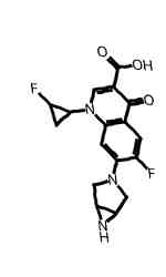 O=C(O)c1cn(C2CC2F)c2cc(N3CC4NC4C3)c(F)cc2c1=O